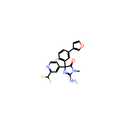 CN1C(=O)C(c2ccnc(C(F)F)c2)(c2cc(-c3ccoc3)ccc2F)N=C1N